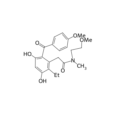 CCc1c(O)cc(O)c(C(=O)c2ccc(OC)cc2)c1CC(=O)N(C)CCOC